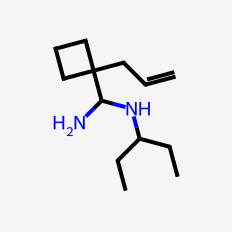 C=CCC1(C(N)NC(CC)CC)CCC1